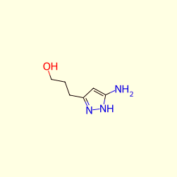 Nc1cc(CCCO)n[nH]1